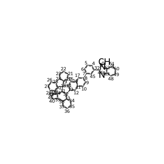 Cn1c(-c2cccc(-c3ccc4cc5c(cc4c3)C3(c4ccccc4-c4ccccc43)c3c-5c4ccccc4c4ccccc34)c2)nc2ccccc21